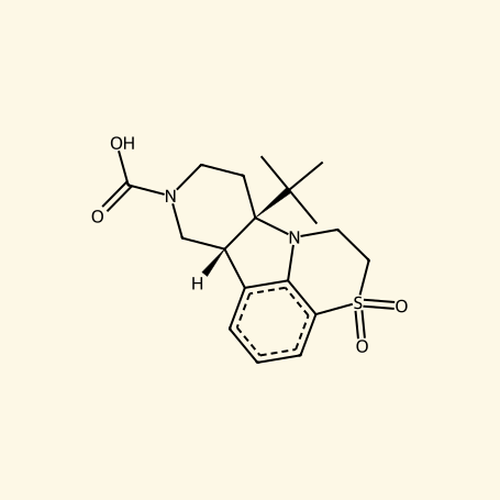 CC(C)(C)[C@]12CCN(C(=O)O)C[C@H]1c1cccc3c1N2CCS3(=O)=O